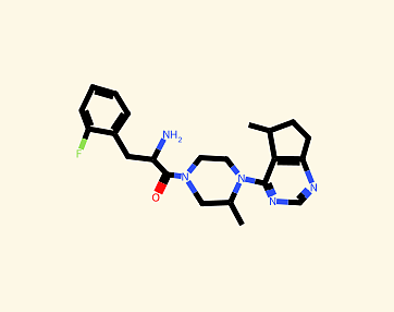 CC1CCc2ncnc(N3CCN(C(=O)C(N)Cc4ccccc4F)CC3C)c21